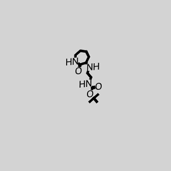 CC(C)(C)OC(=O)NCCNC1CCCCNC1=O